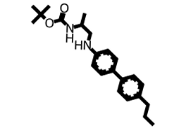 CCCc1ccc(-c2ccc(NCC(C)NC(=O)OC(C)(C)C)cc2)cc1